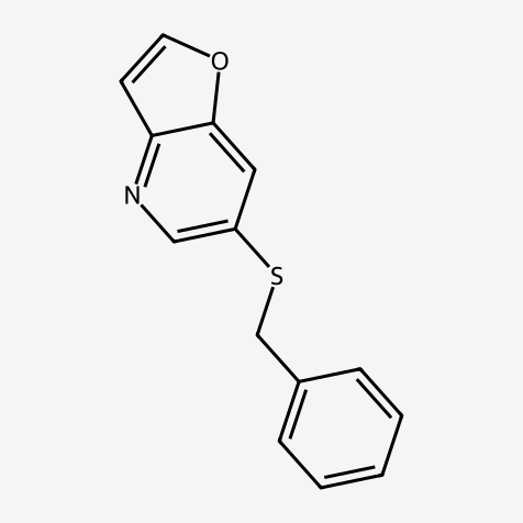 c1ccc(CSc2cnc3ccoc3c2)cc1